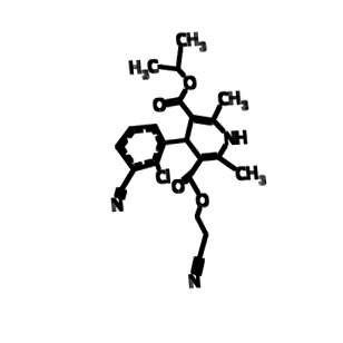 CC1=C(C(=O)OCCC#N)C(c2cccc(C#N)c2Cl)C(C(=O)OC(C)C)=C(C)N1